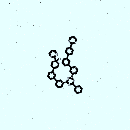 CC1(c2ncccn2)C=CC(c2cccc(-c3cccc(-c4nc(-c5ccccc5)nc(-c5cccc(-c6cccc(-c7ccc(-c8ncccn8)cc7)c6)c5)n4)c3)c2)=CC1